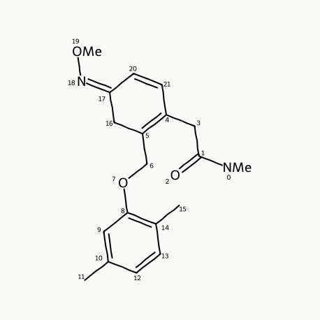 CNC(=O)CC1=C(COc2cc(C)ccc2C)CC(=NOC)C=C1